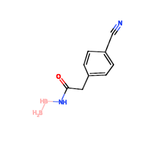 BBNC(=O)Cc1ccc(C#N)cc1